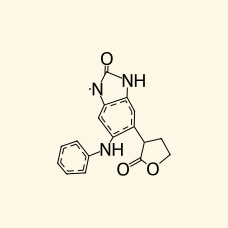 O=C1[N]c2cc(Nc3ccccc3)c(C3CCOC3=O)cc2N1